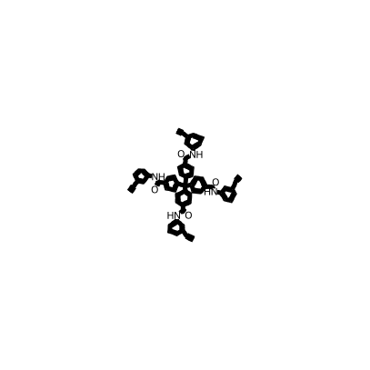 C#Cc1cccc(NC(=O)c2ccc(C(c3ccc(C(=O)Nc4cccc(C#C)c4)cc3)(c3ccc(C(=O)Nc4cccc(C#C)c4)cc3)c3ccc(C(=O)Nc4cccc(C#C)c4)cc3)cc2)c1